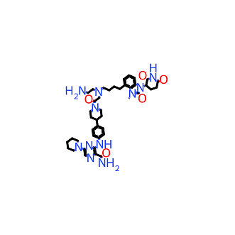 Cn1c(=O)n(C2CCC(=O)NC2=O)c2cccc(CCCCN(CCN)CC(=O)N3CCC(c4ccc(Nc5nc(N6CCCCC6)cnc5C(N)=O)cc4)CC3)c21